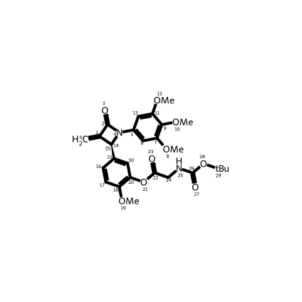 C=C1C(=O)N(c2cc(OC)c(OC)c(OC)c2)[C@H]1c1ccc(OC)c(OC(=O)CNC(=O)OC(C)(C)C)c1